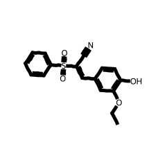 CCOc1cc(/C=C(\C#N)S(=O)(=O)c2ccccc2)ccc1O